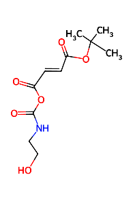 CC(C)(C)OC(=O)C=CC(=O)OC(=O)NCCO